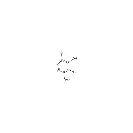 COc1ccc(N)c(O)c1F